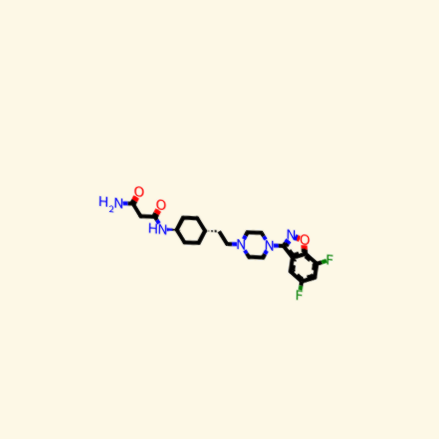 NC(=O)CC(=O)N[C@H]1CC[C@H](CCN2CCN(c3noc4c(F)cc(F)cc34)CC2)CC1